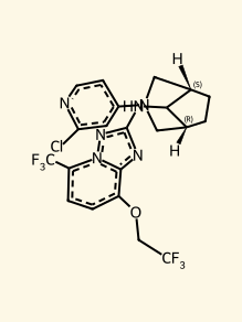 FC(F)(F)COc1ccc(C(F)(F)F)n2nc(NC3[C@@H]4CC[C@H]3CN(c3ccnc(Cl)c3)C4)nc12